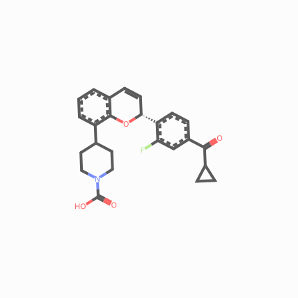 O=C(c1ccc([C@H]2C=Cc3cccc(C4CCN(C(=O)O)CC4)c3O2)c(F)c1)C1CC1